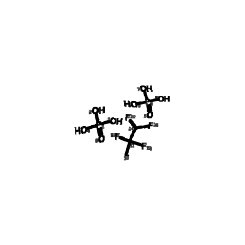 O=P(O)(O)O.O=P(O)(O)O.[CH2]C(F)(F)C(F)F